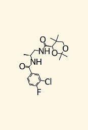 C[C@@H](CNC(=O)[C@@H]1OC(C)(C)OCC1(C)C)NC(=O)c1ccc(F)c(Cl)c1